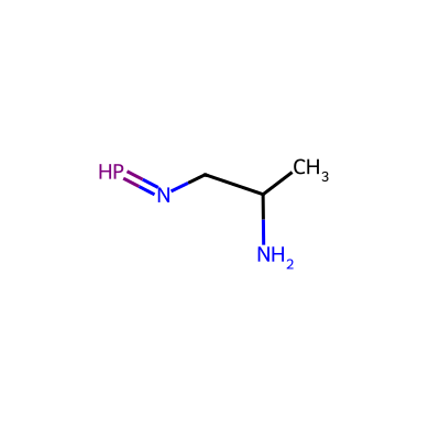 CC(N)CN=P